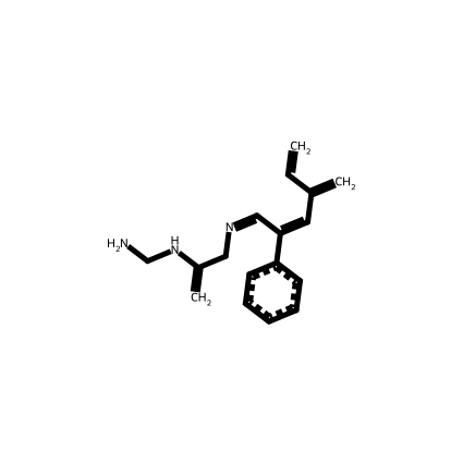 C=CC(=C)/C=C(\C=N/CC(=C)NCN)c1ccccc1